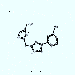 CCOC(=O)c1cnn(Cc2nc(-c3cccc(O)c3)cs2)c1